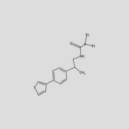 CCN(CC)C(=O)NCC(C)c1ccc(-c2ccsc2)cc1